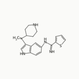 C=C(c1c[nH]c2ccc(NC(=N)c3cccs3)cc12)C1CCNCC1